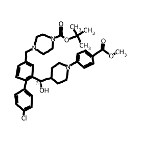 COC(=O)c1ccc(N2CCC([C@@H](O)c3cc(CN4CCN(C(=O)OC(C)(C)C)CC4)ccc3-c3ccc(Cl)cc3)CC2)cc1